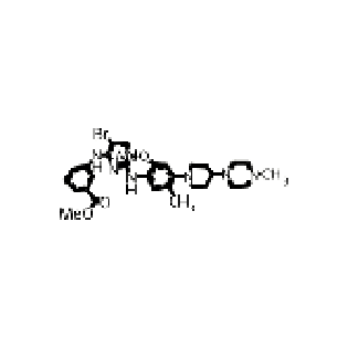 COC(=O)c1cccc(Nc2nc(Nc3cc(C)c(N4CCC(N5CCN(C)CC5)CC4)cc3OC)ncc2Br)c1